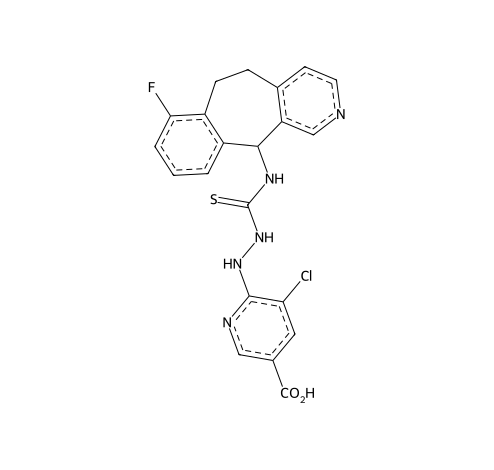 O=C(O)c1cnc(NNC(=S)NC2c3cnccc3CCc3c(F)cccc32)c(Cl)c1